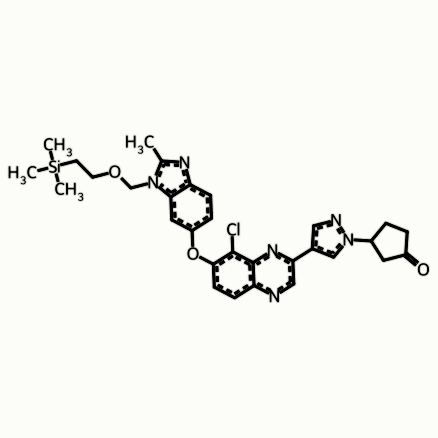 Cc1nc2ccc(Oc3ccc4ncc(-c5cnn(C6CCC(=O)C6)c5)nc4c3Cl)cc2n1COCC[Si](C)(C)C